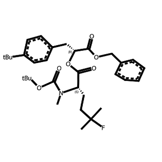 CN(C(=O)OC(C)(C)C)[C@@H](CCC(C)(C)F)C(=O)O[C@H](Cc1ccc(C(C)(C)C)cc1)C(=O)OCc1ccccc1